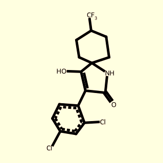 O=C1NC2(CCC(C(F)(F)F)CC2)C(O)=C1c1ccc(Cl)cc1Cl